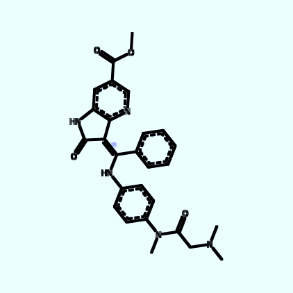 COC(=O)c1cnc2c(c1)NC(=O)/C2=C(\Nc1ccc(N(C)C(=O)CN(C)C)cc1)c1ccccc1